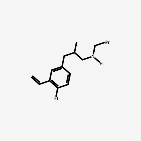 C=Cc1cc(CC(C)CN(CC)CC(C)C)ccc1CC